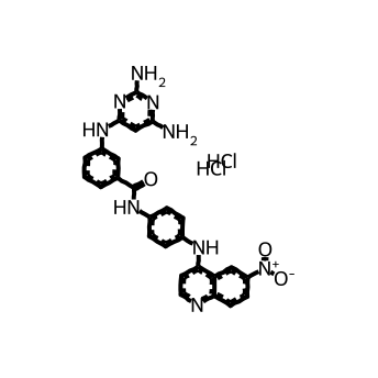 Cl.Cl.Nc1cc(Nc2cccc(C(=O)Nc3ccc(Nc4ccnc5ccc([N+](=O)[O-])cc45)cc3)c2)nc(N)n1